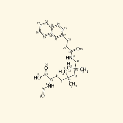 CC(C)(CCC(NC=O)C(=O)O)CC(C)(C)CNC(=O)CCc1ccc2ccccc2c1